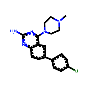 CN1CCN(c2nc(N)nc3ccc(-c4ccc(Cl)cc4)cc23)CC1